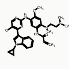 C=CC(=O)Nc1cc(Nc2ncc(Cl)c(-c3cn(C4CC4)c4ccccc34)n2)c(OC)cc1N(C)CCN(C)C